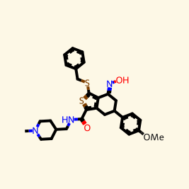 COc1ccc(C2C/C(=N\O)c3c(SCc4ccccc4)sc(C(=O)NCC4CCN(C)CC4)c3C2)cc1